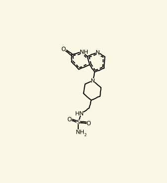 NS(=O)(=O)NCC1CCN(c2ccnc3[nH]c(=O)ccc23)CC1